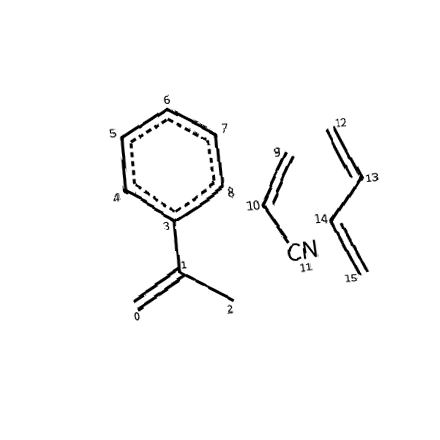 C=C(C)c1ccccc1.C=CC#N.C=CC=C